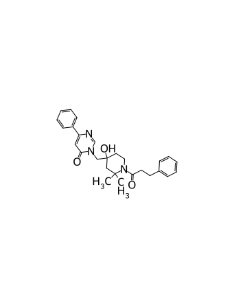 CC1(C)CC(O)(Cn2cnc(-c3ccccc3)cc2=O)CCN1C(=O)CCc1ccccc1